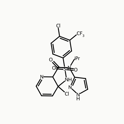 CC(C)N(C(=O)C1N=CC=CC1(Cl)NS(=O)(=O)c1ccc(Cl)c(C(F)(F)F)c1)c1cc[nH]n1